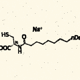 CCCCCCCCCCCCCCCCCC(=O)N[C@@H](CS)C(=O)[O-].[Na+]